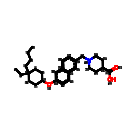 CCCCC1(CC)CCC(Oc2ccc3cc(CN4CCC(C(=O)O)CC4)ccc3c2)CC1